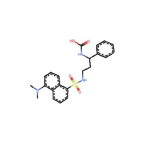 CN(C)c1cccc2c(S(=O)(=O)NCCC(NC(=O)O)c3ccccc3)cccc12